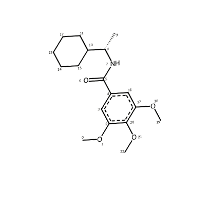 COc1cc(C(=O)N[C@@H](C)C2CCCCC2)cc(OC)c1OC